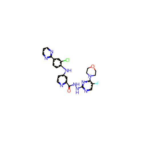 O=C(NNc1ncc(F)c(N2CCOCC2)n1)c1cc(Nc2ccc(-c3ncccn3)cc2Cl)ccn1